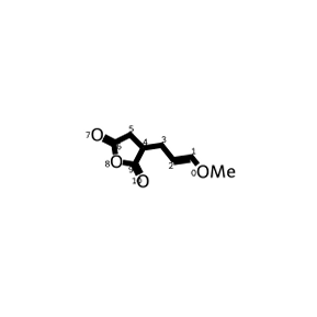 COC=CCC1CC(=O)OC1=O